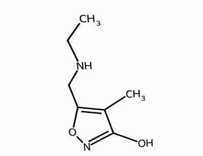 CCNCc1onc(O)c1C